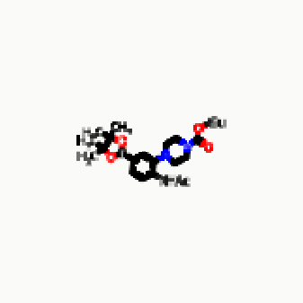 CC(=O)Nc1ccc(B2OC(C)(C)C(C)(C)O2)cc1N1CCN(C(=O)OC(C)(C)C)CC1